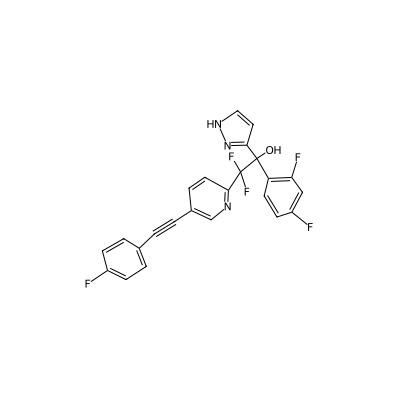 OC(c1cc[nH]n1)(c1ccc(F)cc1F)C(F)(F)c1ccc(C#Cc2ccc(F)cc2)cn1